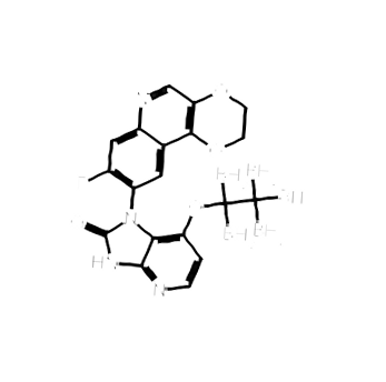 BC(B)(B)C(B)(B)Oc1ccnc2[nH]c(=O)n(-c3cc4c5c(cnc4cc3F)OCCO5)c12